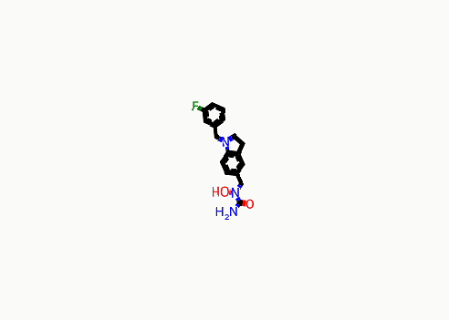 NC(=O)N(O)Cc1ccc2c(c1)CCN2Cc1cccc(F)c1